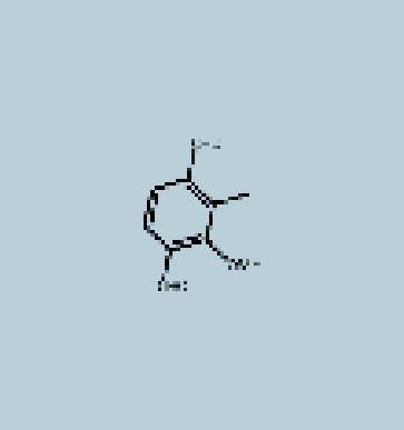 COc1c(C=O)ccc(C=O)c1C